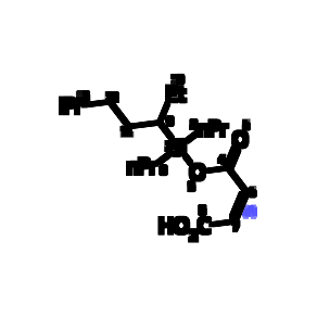 CCC[Si](CCC)(OC(=O)/C=C\C(=O)O)C(CC)CCC(C)C